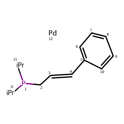 CC(C)P(CC=Cc1ccccc1)C(C)C.[Pd]